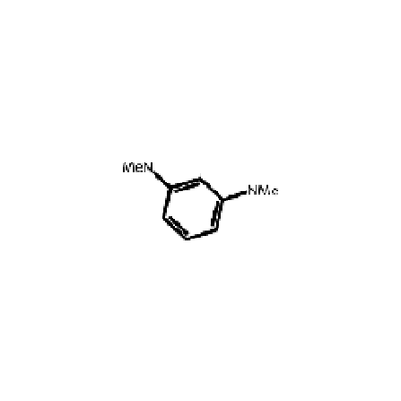 CNc1[c]c(NC)ccc1